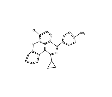 Nc1ccc(Nc2ncc(Cl)c(Nc3ccccc3NC(=O)C3CC3)n2)cc1